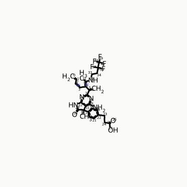 C=C/C=C\C(C(=C)c1nc(N)c2c(n1)NC(=O)[C@@]2(C)c1ccc(CCC(=O)O)cc1)=C(/C)NCCC(F)(F)C(F)(F)F